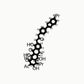 CC(=O)C1=C(O)C(C(C)C)[C@@]2(C)[C@H](O)[C@]3(C)C(=C(O)[C@@]2(O)C1=O)C(=O)c1c(ccc(CC(=O)Cc2ccc(C4=Cc5ccc(C(C)C)cc5C4)cc2)c1O)[C@H]3C